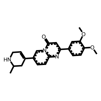 COc1ccc(-c2cc(=O)n3cc(C4=CCNC(C)C4)ccc3n2)cc1OC